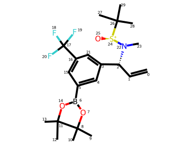 C=C[C@H](c1cc(B2OC(C)(C)C(C)(C)O2)cc(C(F)(F)F)c1)N(C)[S@@+]([O-])C(C)(C)C